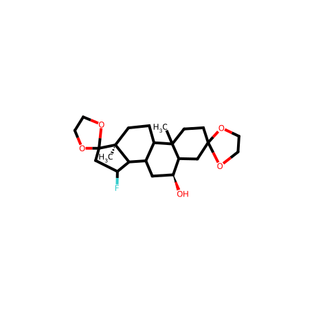 CC12CCC3(CC1[C@@H](O)CC1C2CC[C@@]2(C)C1C(F)CC21OCCO1)OCCO3